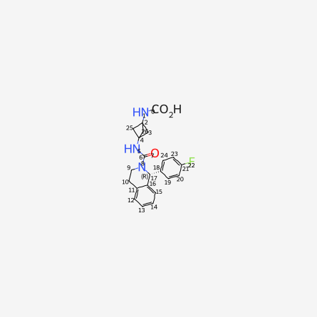 O=C(O)NC12CC(NC(=O)N3CCc4ccccc4[C@H]3c3ccc(F)cc3)(C1)C2